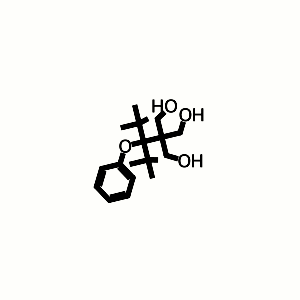 CC(C)(C)C(Oc1ccccc1)(C(C)(C)C)C(CO)(CO)CO